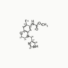 COC(=O)Nc1cc2c(cc1F)OCCN2Cc1c[nH]cn1